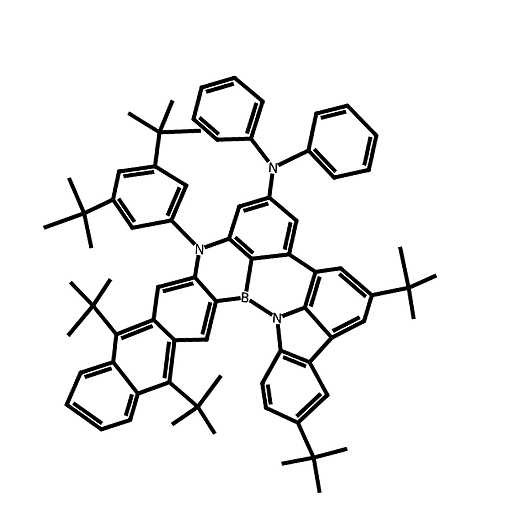 CC(C)(C)c1cc(N2c3cc4c(C(C)(C)C)c5ccccc5c(C(C)(C)C)c4cc3B3c4c(cc(N(c5ccccc5)c5ccccc5)cc42)-c2cc(C(C)(C)C)cc4c5cc(C(C)(C)C)ccc5n3c24)cc(C(C)(C)C)c1